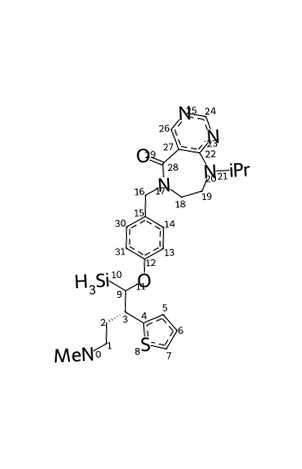 CNCC[C@@H](c1cccs1)C([SiH3])Oc1ccc(CN2CCN(C(C)C)c3ncncc3C2=O)cc1